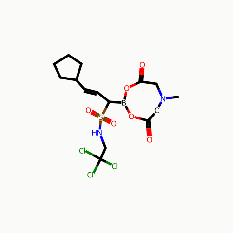 CN1CC(=O)OB(C(/C=C/C2CCCC2)S(=O)(=O)NCC(Cl)(Cl)Cl)OC(=O)C1